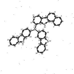 c1ccc2c(c1)ccc1c3cncc(N(c4ccc5c(c4)oc4ccccc45)c4ccc5sc6ccccc6c5c4)c3sc21